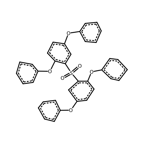 O=S(=O)(c1cc(Oc2ccccc2)ccc1Oc1ccccc1)c1cc(Oc2ccccc2)ccc1Oc1ccccc1